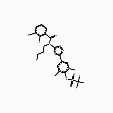 CCCCN(C(=O)c1cccc(Cl)c1F)c1nnc(-c2cc(C)c(OS(=O)(=O)C(F)(F)F)c(C)c2)s1